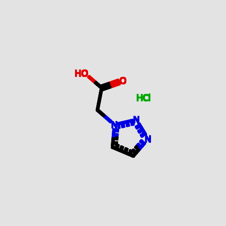 Cl.O=C(O)Cn1ccnn1